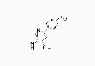 CNc1nnc(-c2ccc(C=O)cc2)cc1OC